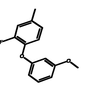 COc1cccc(Oc2ccc(C)cc2F)c1